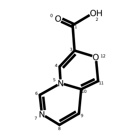 O=C(O)C1=CN2C=NC=CC2=CO1